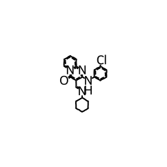 O=c1c(/C=N/C2CCCCC2)c(Nc2cccc(Cl)c2)nc2ccccn12